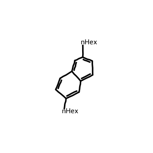 CCCCCCc1ccc2cc(CCCCCC)ccc2c1